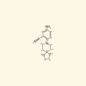 N#Cc1cc(N)ccc1N1CCC2(CC1)OCCO2